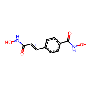 O=C(/C=C/c1ccc(C(=O)NO)cc1)NO